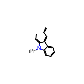 C=C/C=c1\c(=C/C)n(C(C)C)c2ccccc12